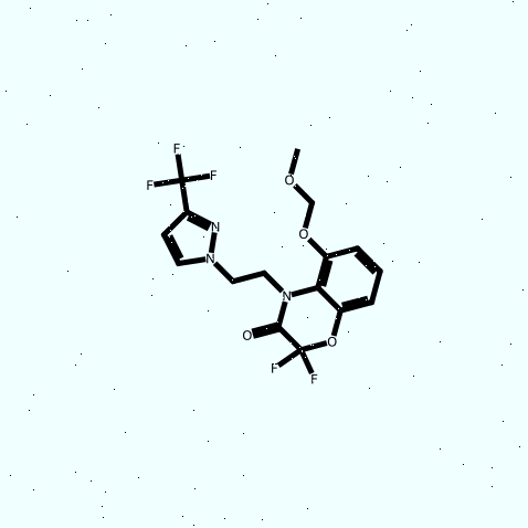 COCOc1cccc2c1N(CCn1ccc(C(F)(F)F)n1)C(=O)C(F)(F)O2